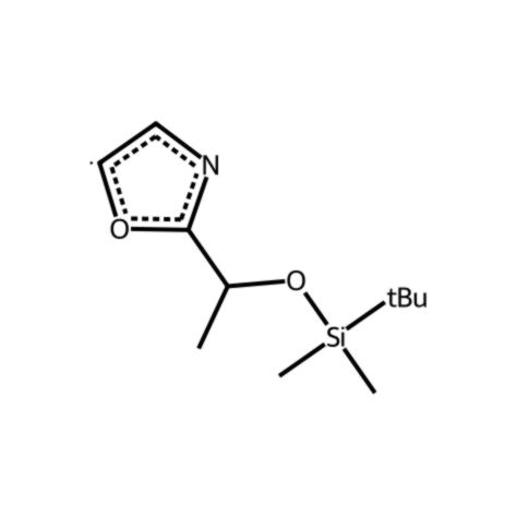 CC(O[Si](C)(C)C(C)(C)C)c1nc[c]o1